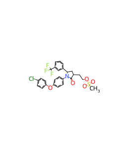 CS(=O)(=O)OCCC1CC(c2cccc(C(F)(F)F)c2)N(c2ccc(Oc3ccc(Cl)cc3)cc2)C1=O